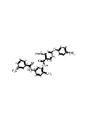 CNc1nc(Oc2ccc([N+](=O)[O-])cc2)ncc1C(=O)Nc1cc(NC(=O)c2cccc(C(F)(F)F)c2)ccc1C